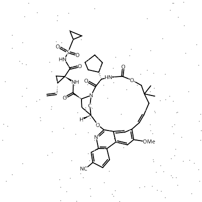 C=C[C@@H]1C[C@]1(NC(=O)[C@@H]1C[C@@H]2CN1C(=O)[C@H](C1CCCC1)NC(=O)OCC(C)(C)C/C=C/c1cc3c(nc4cc(C#N)ccc4c3cc1OC)O2)C(=O)NS(=O)(=O)C1CC1